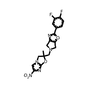 CC1(CN2Cc3nc(-c4ccc(F)c(F)c4)oc3C2)Cn2cc([N+](=O)[O-])nc2O1